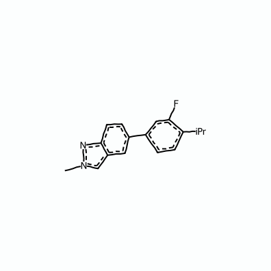 CC(C)c1ccc(-c2ccc3nn(C)cc3c2)cc1F